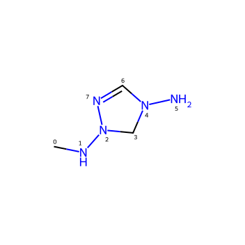 CNN1CN(N)C=N1